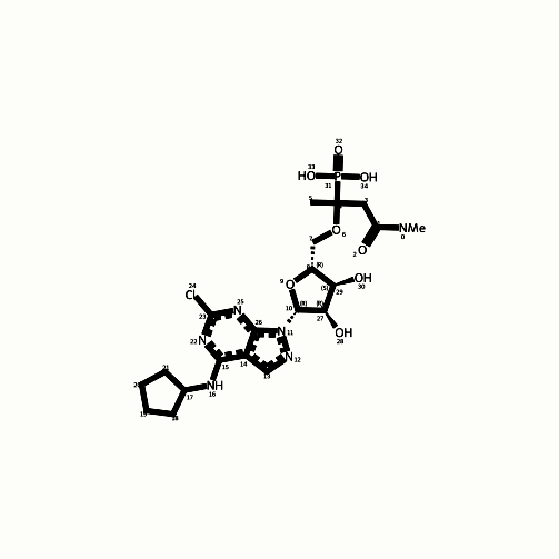 CNC(=O)CC(C)(OC[C@H]1O[C@@H](n2ncc3c(NC4CCCC4)nc(Cl)nc32)[C@H](O)[C@@H]1O)P(=O)(O)O